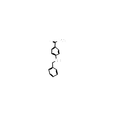 COC(=O)c1ccc(NCc2ccccc2)cc1